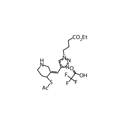 CCOC(=O)CCCn1cc(/C=C2\CNCCC2SC(C)=O)nn1.O=C(O)C(F)(F)F